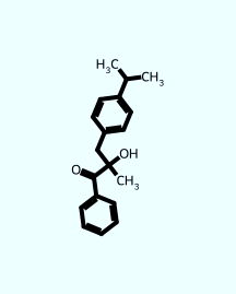 CC(C)c1ccc(CC(C)(O)C(=O)c2ccccc2)cc1